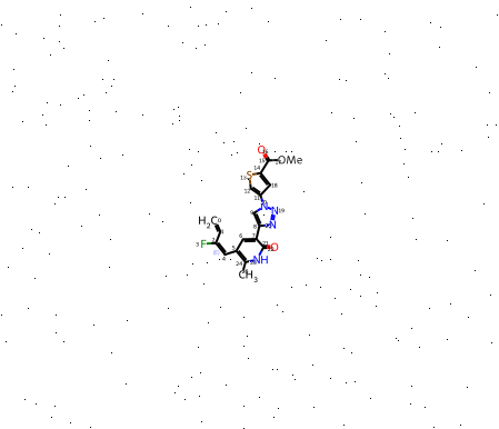 C=C/C(F)=C\c1cc(-c2cn(-c3csc(C(=O)OC)c3)nn2)c(=O)[nH]c1C